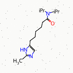 Cc1n[c]c(CCCCCC(=O)N(C(C)C)C(C)C)[nH]1